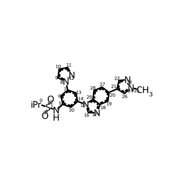 CC(C)S(=O)(=O)Nc1cc(-n2cccn2)cc(-n2cnc3cc(-c4cnn(C)c4)ccc32)c1